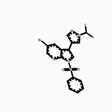 O=S(=O)(c1ccccc1)n1cc(-c2cnn(C(F)F)c2)c2cc(Br)cnc21